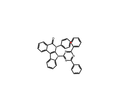 O=c1c2ccccc2c2c3ccccc3n(-c3nc(-c4ccccc4)nc(-c4ccccc4)n3)c2n1-c1ccccc1